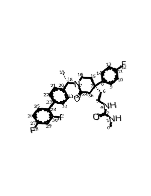 CNC(=O)NCC[C@@]1(c2ccc(F)cc2)CCN([C@@H](C)c2ccc(-c3ccc(F)cc3F)cc2)C(=O)C1